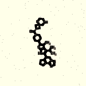 Cc1c(C2CCN(C(=O)[C@H]3C[C@@]4(CNCCO4)C3)CC2)sc2[nH]c(-c3cn4ncnc4c4c3CCC4)c(C(C)C)c12